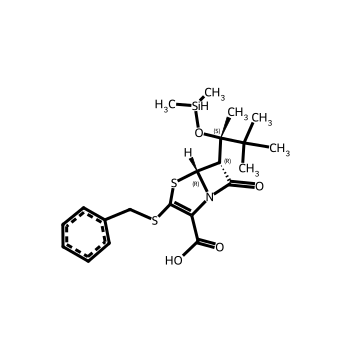 C[SiH](C)O[C@@](C)([C@@H]1C(=O)N2C(C(=O)O)=C(SCc3ccccc3)S[C@H]12)C(C)(C)C